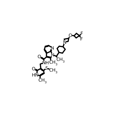 CSc1cc(C)[nH]c(=O)c1CNC(=O)c1c(C)n(C(C)C2CCC(N3CC(OC4CC(F)(F)C4)C3)CC2)c2ncccc12